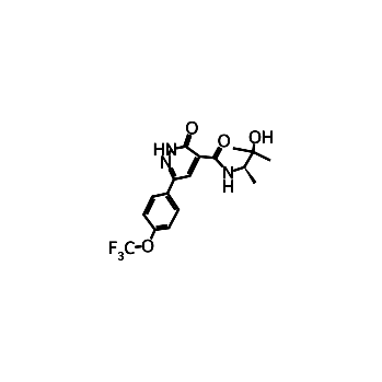 C[C@@H](NC(=O)c1cc(-c2ccc(OC(F)(F)F)cc2)n[nH]c1=O)C(C)(C)O